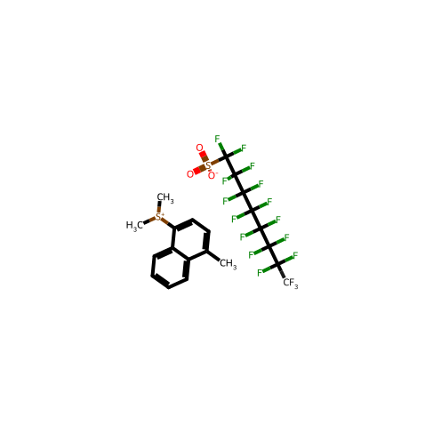 Cc1ccc([S+](C)C)c2ccccc12.O=S(=O)([O-])C(F)(F)C(F)(F)C(F)(F)C(F)(F)C(F)(F)C(F)(F)C(F)(F)C(F)(F)F